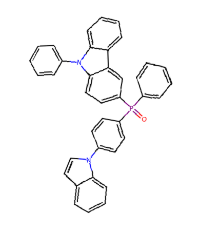 O=P(c1ccccc1)(c1ccc(-n2ccc3ccccc32)cc1)c1ccc2c(c1)c1ccccc1n2-c1ccccc1